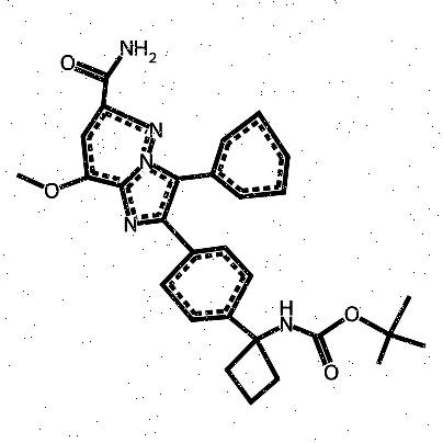 COc1cc(C(N)=O)nn2c(-c3ccccc3)c(-c3ccc(C4(NC(=O)OC(C)(C)C)CCC4)cc3)nc12